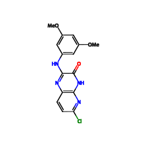 COc1cc(Nc2nc3ccc(Cl)nc3[nH]c2=O)cc(OC)c1